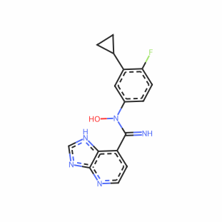 N=C(c1ccnc2nc[nH]c12)N(O)c1ccc(F)c(C2CC2)c1